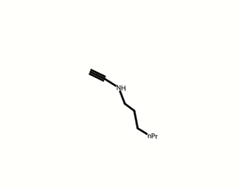 C#CNCCCCCC